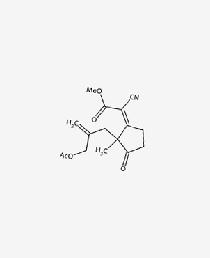 C=C(COC(C)=O)CC1(C)C(=O)CCC1=C(C#N)C(=O)OC